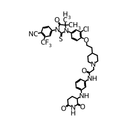 CC1(C)C(=O)N(c2ccc(C#N)c(C(F)(F)F)c2)C(=S)N1c1ccc(OCCC2CCN(CC(=O)Nc3cccc(NC4CCC(=O)NC4=O)c3)CC2)c(Cl)c1